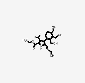 CCOC(=O)c1[nH]c(/C=N/CO)c(-c2ccc(CO)c(CO)c2CO)c1C(F)F